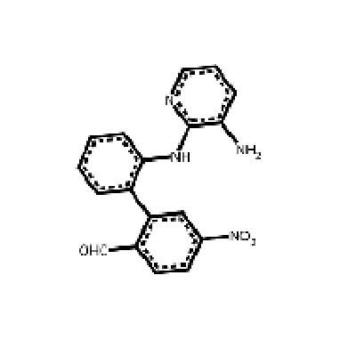 Nc1cccnc1Nc1ccccc1-c1cc([N+](=O)[O-])ccc1C=O